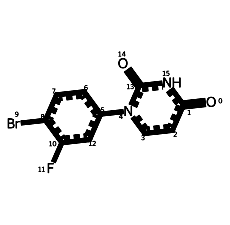 O=c1ccn(-c2ccc(Br)c(F)c2)c(=O)[nH]1